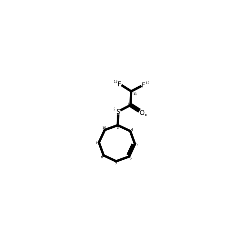 O=C(SC1C/C=C\CCCC1)C(F)F